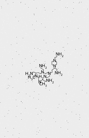 CN(CCN)CCN(C)C(CN)CCN(CCN)CCN(CCN)CCC(CN)N1CCN(CCN)CC1